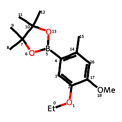 CCOc1cc(B2OC(C)(C)C(C)(C)O2)c(C)cc1OC